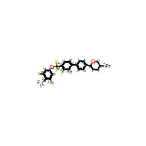 CCCC1CCC(c2ccc(-c3ccc(C(F)(F)Oc4cc(F)c(C(F)(F)F)c(F)c4)c(F)c3F)cc2)OC1